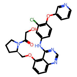 O=C(CO)N1CCC[C@@H]1COc1cccc2ncnc(Nc3ccc(Oc4cccnc4)c(Cl)c3)c12